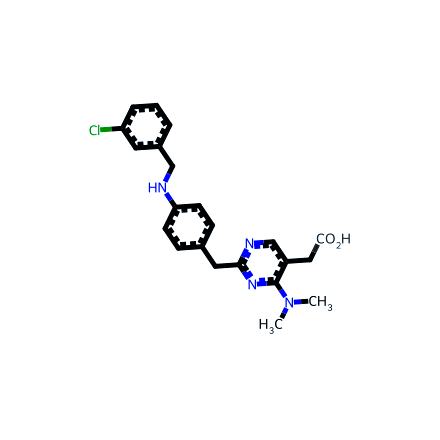 CN(C)c1nc(Cc2ccc(NCc3cccc(Cl)c3)cc2)ncc1CC(=O)O